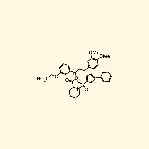 COc1ccc(CC[C@@H](OC(=O)C2CCCCN2S(=O)(=O)c2ccc(-c3ccccc3)s2)c2cccc(OCC(=O)O)c2)cc1OC